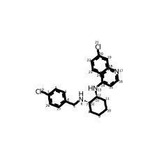 Clc1ccc(CN[C@H]2CCCC[C@@H]2Nc2ccnc3cc(Cl)ccc23)cc1